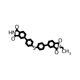 CCN1C(=O)c2ccc(-c3ccc(Sc4ccc(-c5ccc6c(c5)C(=O)NC6=O)cc4)cc3)cc2C1=O